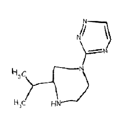 CC(C)C1CN(c2nccnn2)CCN1